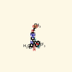 CC1(C)Cc2nc(C3CCN(c4ncc(OCCCS(C)(=O)=O)cn4)CC3)c(C(F)c3ccc(C(F)(F)F)cc3)c(C3CCC(F)(F)CC3)c2C(O)C1